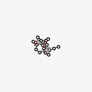 C1=CC(n2c3ccccc3c3cc(-c4ccc5ccccc5c4)c4c5ccccc5n(-c5cc(-c6ccccc6)nc(-c6cccc(-c7cccc(-n8c9ccccc9c9c8ccc8c%10c%11ccccc%11ccc%10n(-c%10nc(-c%11ccccc%11)cc(-c%11ccc(-c%12ccccc%12)cc%11)n%10)c89)c7)c6)c5)c4c32)=CCC1